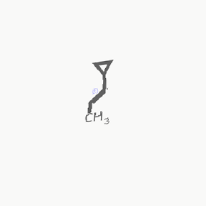 C/C=[C]/C1CC1